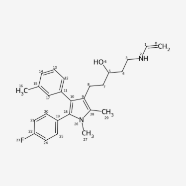 C=CNCCC(O)CCc1c(-c2cccc(C)c2)c(-c2ccc(F)cc2)n(C)c1C